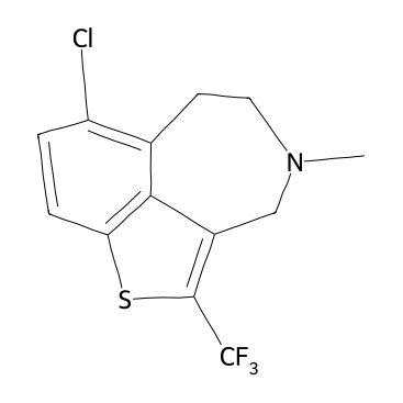 CN1CCc2c(Cl)ccc3sc(C(F)(F)F)c(c23)C1